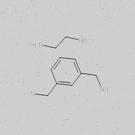 NCCN.NCc1cccc(CN)c1